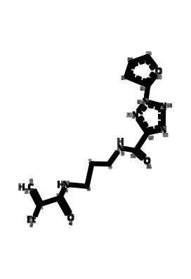 C=C(CC)C(=O)NCCCNC(=O)c1nnn(-c2ccco2)n1